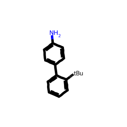 CC(C)(C)c1ccccc1-c1ccc(N)cc1